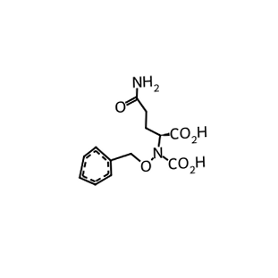 NC(=O)CC[C@@H](C(=O)O)N(OCc1ccccc1)C(=O)O